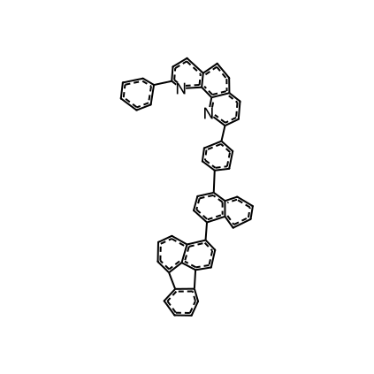 c1ccc(-c2ccc3ccc4ccc(-c5ccc(-c6ccc(-c7ccc8c9c(cccc79)-c7ccccc7-8)c7ccccc67)cc5)nc4c3n2)cc1